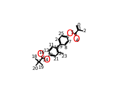 C=C(C)C(=O)Oc1ccc(-c2ccc(OC(=O)C(C)(C)C)cc2C)cc1